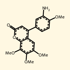 COc1ccc(-c2cc(=O)oc3c(OC)c(OC)c(OC)cc23)cc1N